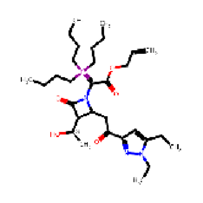 C=CCOC(=O)C(N1C(=O)C([C@@H](C)O)C1CC(=O)c1cc(CC)n(CC)n1)=P(CCCC)(CCCC)CCCC